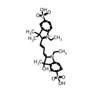 CCN1/C(=C\C=C\C2=[N+](CC)c3ccc(S(=O)(=O)O)cc3C2(C)C)C(C)(C)c2cc(S(=O)(=O)O)ccc21